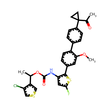 COc1cc(-c2sc(F)cc2NC(=O)OC(C)c2cscc2Cl)ccc1-c1ccc(C2(C(C)=O)CC2)cc1